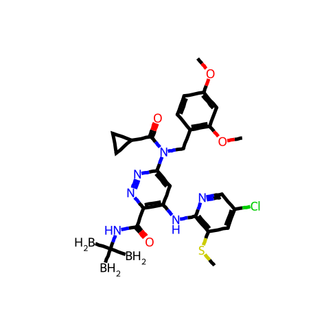 BC(B)(B)NC(=O)c1nnc(N(Cc2ccc(OC)cc2OC)C(=O)C2CC2)cc1Nc1ncc(Cl)cc1SC